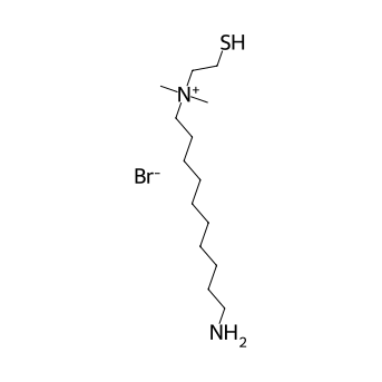 C[N+](C)(CCS)CCCCCCCCCCN.[Br-]